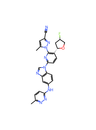 Cc1ccc(Nc2ccc3c(c2)ncn3-c2ccc([C@@H]3C[C@@H](F)CO3)c(-n3nc(C#N)cc3C)n2)nn1